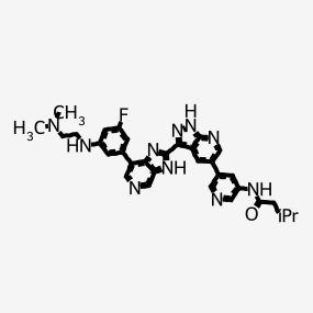 CC(C)CC(=O)Nc1cncc(-c2cnc3[nH]nc(-c4nc5c(-c6cc(F)cc(NCCN(C)C)c6)cncc5[nH]4)c3c2)c1